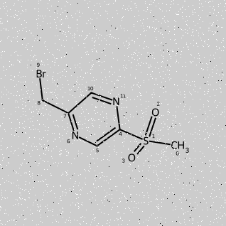 CS(=O)(=O)c1cnc(CBr)cn1